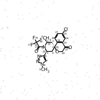 C[C@H]1C[C@@]2(C[C@@H](c3cn(C)nn3)N1C(=O)C(F)(F)F)OCC(=O)c1cc(Cl)ccc12